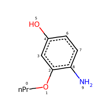 CCCOc1cc(O)ccc1N